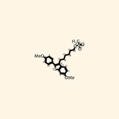 COc1ccc(-c2sc3cc(OC)ccc3c2CCCCCCOS(C)(=O)=O)cc1